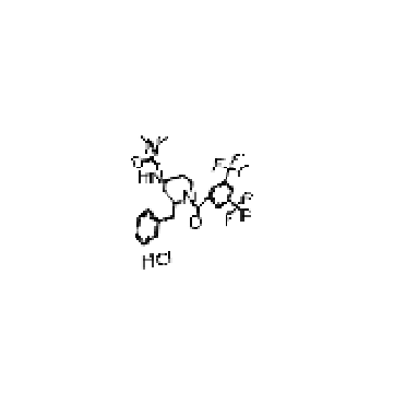 CN(C)C(=O)CNC1CCN(C(=O)c2cc(C(F)(F)F)cc(C(F)(F)F)c2)C(Cc2ccccc2)C1.Cl